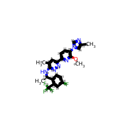 COc1nc(-c2cc(C)c(N[C@@H](C)c3ccc(F)cc3C(F)(F)F)nn2)ccc1-n1cnc(C)c1